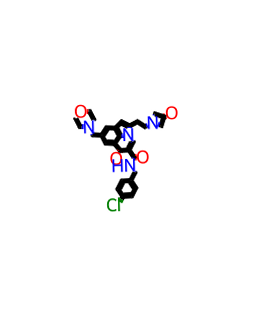 O=C1CN(CCc2cc3cc(CN4CCOCC4)cc4c(=O)c(C(=O)NCc5ccc(Cl)cc5)cn2c34)C1